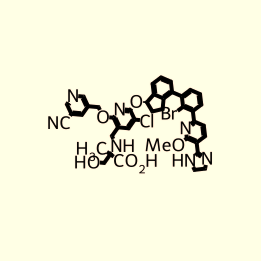 COc1nc(-c2cccc(-c3cccc4c3CC[C@@H]4Oc3nc(OCc4cncc(C#N)c4)c(CNC(C)(CO)C(=O)O)cc3Cl)c2Br)ccc1C1=NCCN1